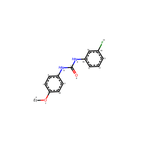 CCOc1ccc(NC(=O)Nc2cccc(F)c2)cc1